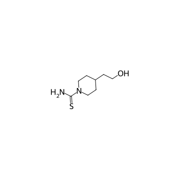 NC(=S)N1CCC(CCO)CC1